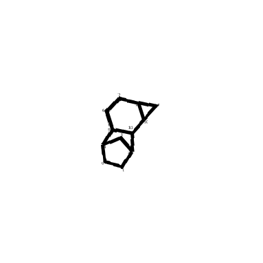 C1CC2CC1C1CCC3CC3C21